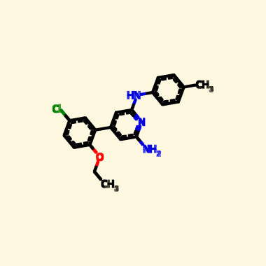 CCOc1ccc(Cl)cc1-c1cc(N)nc(Nc2ccc(C)cc2)c1